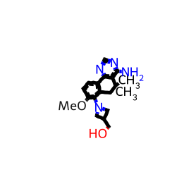 COc1ccc2c(c1N1CC(CO)C1)CC(C)(C)c1c(N)ncnc1-2